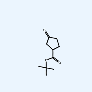 CC(C)(C)OC(=O)C1CCC(=O)C1